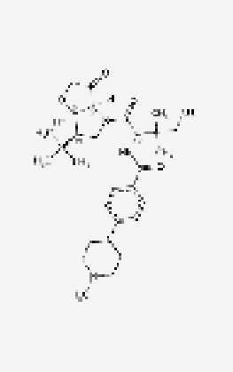 CCC(C)(C)[C@H](NC(=O)c1ccc(N2CCN(C)CC2)cc1)C(=O)N1C[C@@H](C(C)(C)C)[C@H]2OCC(=O)[C@H]21